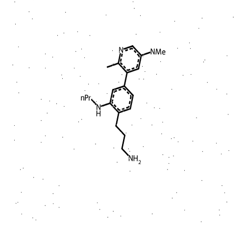 CCCNc1cc(-c2cc(NC)cnc2C)ccc1CCCN